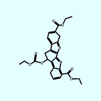 CCOC(=O)OC1CC2=C(N=C3CC(C(=O)OCC)=CC=C32)C2=NC3=C(C(=O)OCC)C=CCC3=C21